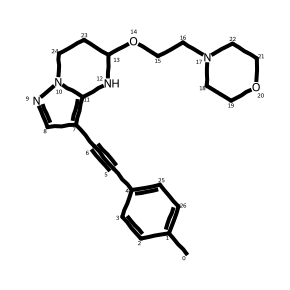 Cc1ccc(C#Cc2cnn3c2NC(OCCN2CCOCC2)CC3)cc1